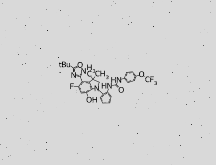 CC(C)(C)c1nc(-c2c(F)cc(O)c3c2C(C)(C)CN3c2ccccc2NC(=O)Nc2ccc(OC(F)(F)F)cc2)no1